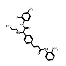 Nc1ccccc1NC(=O)C=Cc1ccc(C(NCCO)C(=O)Nc2ccc(C(F)(F)F)cc2F)cc1